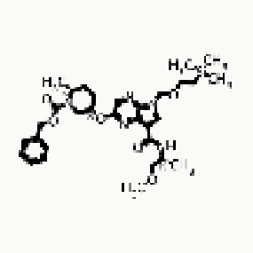 COC[C@@H](C)NC(=O)c1cn(COCC[Si](C)(C)C)c2ncc(O[C@@H]3CC[C@H](C)N(C(=O)OCc4ccccc4)C3)nc12